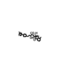 Cc1cccc2c(=O)n(CC[C@H](C(=O)O)[C@H](O)CCc3ccc(-c4cnn(C)c4)cc3)nnc12